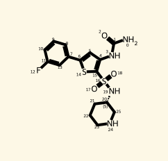 NC(=O)Nc1cc(-c2cccc(F)c2)sc1S(=O)(=O)N[C@H]1CCCNC1